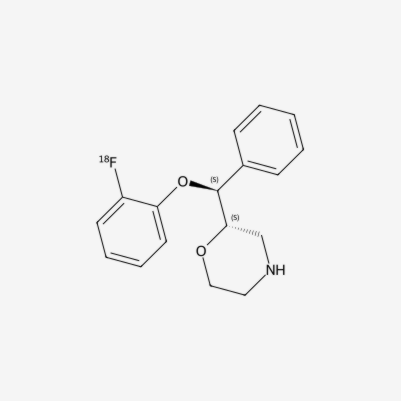 [18F]c1ccccc1O[C@@H](c1ccccc1)[C@@H]1CNCCO1